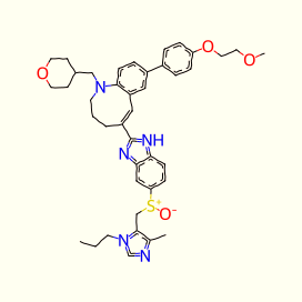 CCCn1cnc(C)c1C[S+]([O-])c1ccc2[nH]c(/C3=C/c4cc(-c5ccc(OCCOC)cc5)ccc4N(CC4CCOCC4)CCC3)nc2c1